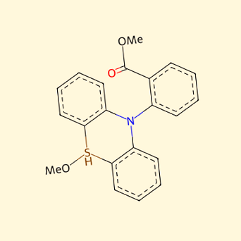 COC(=O)c1ccccc1N1c2ccccc2[SH](OC)c2ccccc21